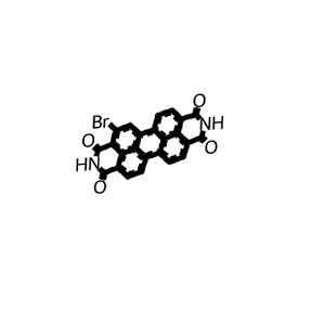 O=C1NC(=O)c2ccc3c4cc(Br)c5c6c(ccc(c7ccc1c2c73)c64)C(=O)NC5=O